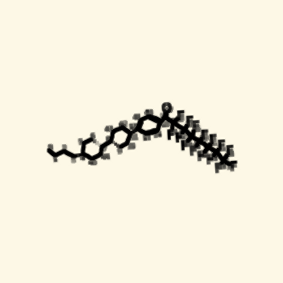 CCCC[C@H]1CC[C@H]([C@H]2CC[C@H](c3ccc(C(=O)C(F)(F)C(F)(F)C(F)(F)C(F)(F)C(F)(F)C(F)(F)C(F)(F)F)cc3)CC2)CC1